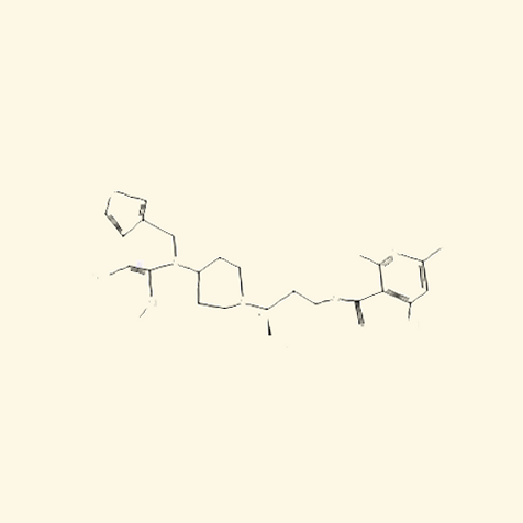 CCN/C(=C\C#N)N(Cc1ccsc1)C1CCN([C@H](C)CCNC(=O)c2c(C)cc(Cl)nc2C)CC1